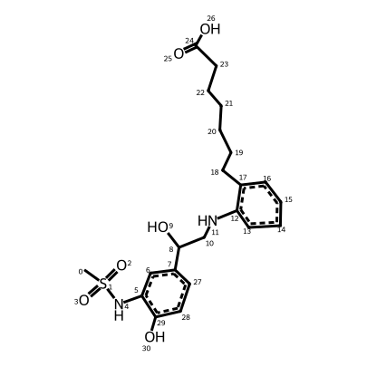 CS(=O)(=O)Nc1cc(C(O)CNc2ccccc2CCCCCCC(=O)O)ccc1O